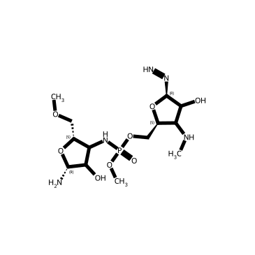 CNC1C(O)[C@H](N=N)O[C@@H]1COP(=O)(NC1C(O)[C@H](N)O[C@@H]1COC)OC